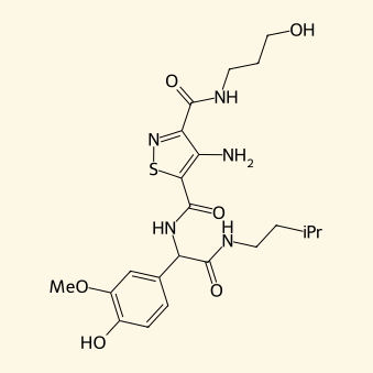 COc1cc(C(NC(=O)c2snc(C(=O)NCCCO)c2N)C(=O)NCCC(C)C)ccc1O